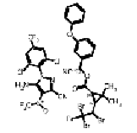 CC1(C)[C@H](C(=O)O[C@H](C#N)c2cccc(Oc3ccccc3)c2)[C@@H]1C(Br)C(Br)(Br)Br.N#Cc1nn(-c2c(Cl)cc(C(F)(F)F)cc2Cl)c(N)c1[S+]([O-])C(F)(F)F